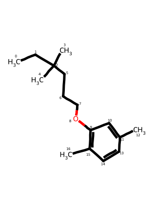 CCC(C)(C)CCCOc1cc(C)ccc1C